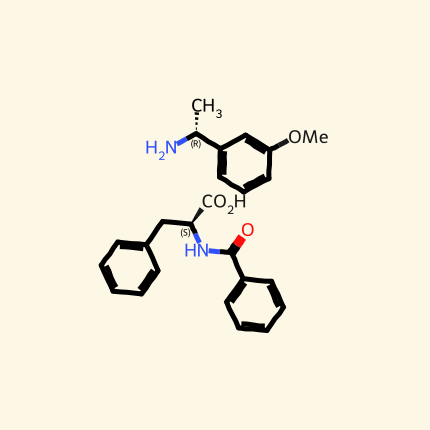 COc1cccc([C@@H](C)N)c1.O=C(N[C@@H](Cc1ccccc1)C(=O)O)c1ccccc1